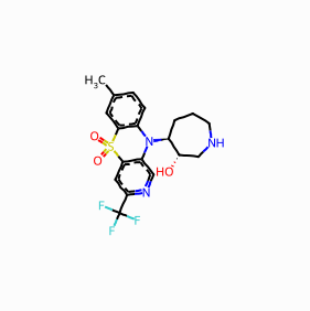 Cc1ccc2c(c1)S(=O)(=O)c1cc(C(F)(F)F)ncc1N2[C@H]1CCCNC[C@@H]1O